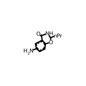 CCCC1NC(=O)c2cc(N)ccc2O1